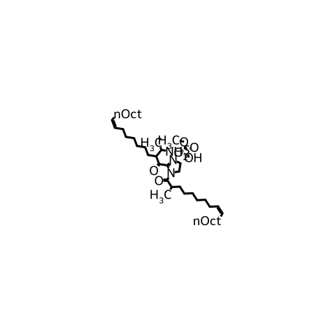 CCCCCCCC/C=C\CCCCCCC(C)C(=O)N1CCN=C1C(=O)C(CCCCCC/C=C\CCCCCCCC)C(C)N.COS(=O)(=O)O